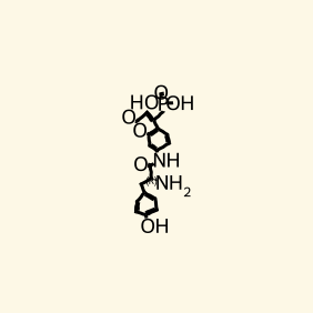 N[C@H](Cc1ccc(O)cc1)C(=O)Nc1ccc2c(CP(=O)(O)O)cc(=O)oc2c1